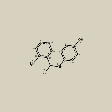 CCC(Nc1ccc(O)cc1)c1cnccc1N